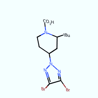 CC(C)(C)C1CC(n2nc(Br)c(Br)n2)CCN1C(=O)O